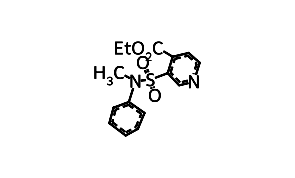 CCOC(=O)c1ccncc1S(=O)(=O)N(C)c1ccccc1